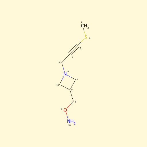 CSC#CCN1CC(CON)C1